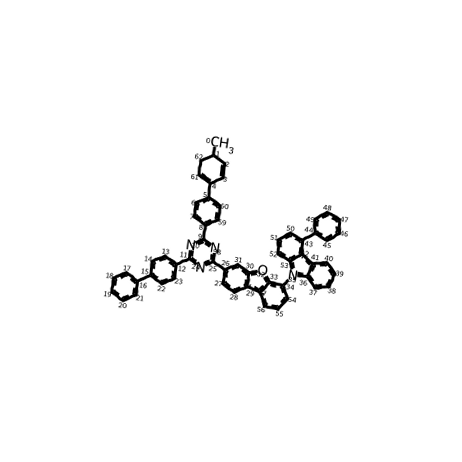 CC1C=CC(c2ccc(-c3nc(-c4ccc(-c5ccccc5)cc4)nc(-c4ccc5c(c4)oc4c(-n6c7ccccc7c7c(-c8ccccc8)cccc76)cccc45)n3)cc2)=CC1